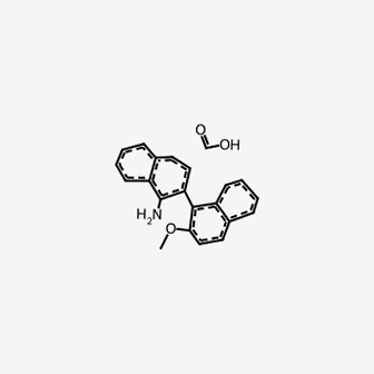 COc1ccc2ccccc2c1-c1ccc2ccccc2c1N.O=CO